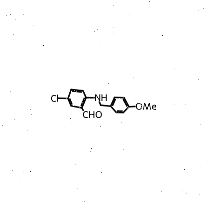 COc1ccc(CNc2ccc(Cl)cc2C=O)cc1